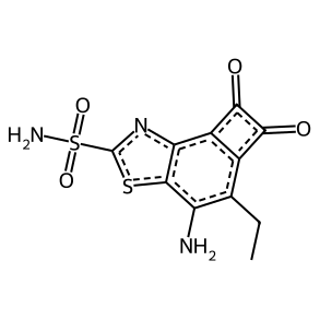 CCc1c(N)c2sc(S(N)(=O)=O)nc2c2c(=O)c(=O)c12